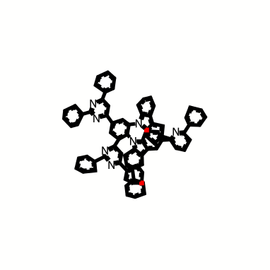 Cc1ccc2c(c1)c1ccccc1n2-c1cc(-c2cc(-c3ccccc3)nc(-c3ccccc3)n2)cc(-c2cc(-c3ccccc3)nc(-c3ccccc3)n2)c1-n1c2ccc(-c3ccccc3)cc2c2cc(-c3cccc(-c4ccccc4)n3)ccc21